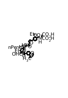 CCCCCC(C(=O)NCNC(=O)c1ccc(-c2ccc(C(=O)NC(CC(=O)O)C(=O)O)c(OCC)c2)o1)C(CC)N(C=O)OC(=O)c1ccc2c(c1)N(C)CCO2